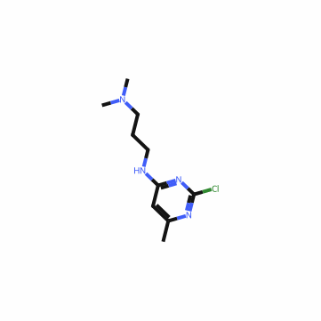 Cc1cc(NCCCN(C)C)nc(Cl)n1